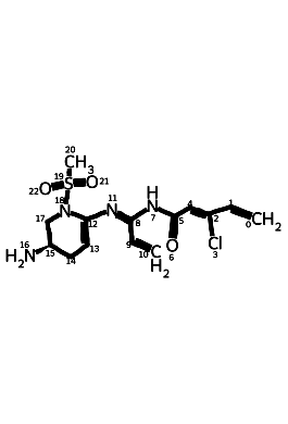 C=C/C(Cl)=C/C(=O)N/C(C=C)=N/C1=CC[C@@H](N)CN1S(C)(=O)=O